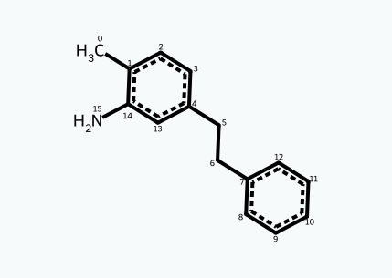 Cc1ccc(CCc2ccccc2)cc1N